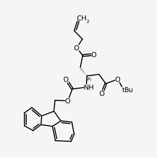 C=CCOC(=O)C[C@H](CC(=O)OC(C)(C)C)NC(=O)OCC1c2ccccc2-c2ccccc21